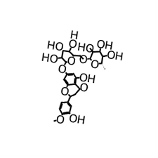 COc1ccc(C2CC(=O)c3c(O)cc(OC4OC(CO[C@@H]5O[C@@H](C)C(O)C(O)C5O)C(O)C(O)C4O)cc3O2)cc1O